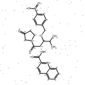 CC(C)C(OCc1ccc([N+](=O)[O-])cc1)[C@H](NC(=O)c1ccc2ccccc2n1)C(=O)N1CCC(=O)C1